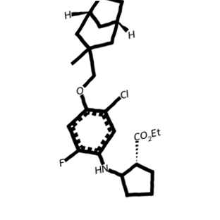 CCOC(=O)[C@@H]1CCCC1Nc1cc(Cl)c(OCC2(C)C[C@@H]3CC[C@@H](C3)C2)cc1F